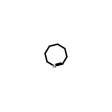 [C]1=N\CCCCCC/1